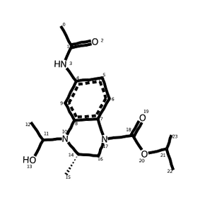 CC(=O)Nc1ccc2c(c1)N(C(C)O)[C@@H](C)CN2C(=O)OC(C)C